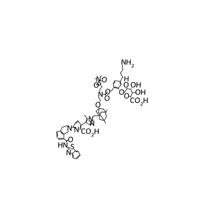 Cc1c(-c2ccc(N3CCc4cccc(C(=O)Nc5nc6ccccc6s5)c4C3)nc2C(=O)O)cnn1CC12CC3(C)CC(C)(C1)CC(OCCN(CCS(=O)(=O)N(C)C)C(=O)OCc1ccc(CCCCN)cc1O[C@H]1O[C@@H](C(=O)O)[C@H](O)[C@@H](O)[C@@H]1O)(C3)C2